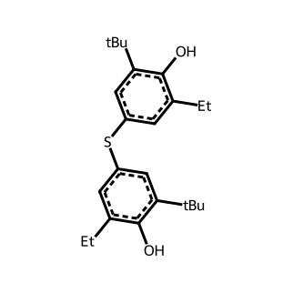 CCc1cc(Sc2cc(CC)c(O)c(C(C)(C)C)c2)cc(C(C)(C)C)c1O